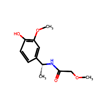 COCC(=O)N[C@H](C)c1ccc(O)c(OC)c1